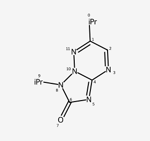 CC(C)c1cnc2nc(=O)n(C(C)C)n2n1